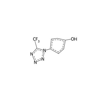 Oc1ccc(-n2nnnc2C(F)(F)F)cc1